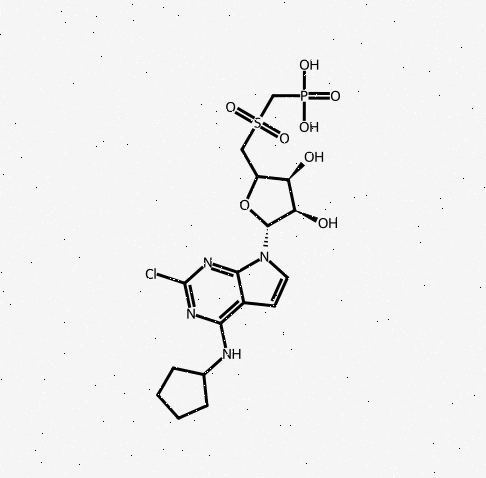 O=P(O)(O)CS(=O)(=O)CC1O[C@@H](n2ccc3c(NC4CCCC4)nc(Cl)nc32)[C@H](O)[C@@H]1O